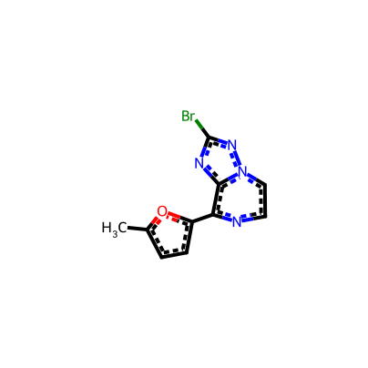 Cc1ccc(-c2nccn3nc(Br)nc23)o1